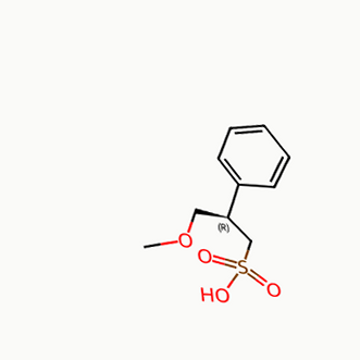 COC[C@H](CS(=O)(=O)O)c1ccccc1